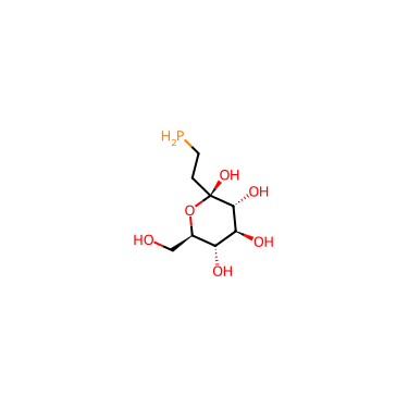 OC[C@H]1O[C@](O)(CCP)[C@H](O)[C@@H](O)[C@@H]1O